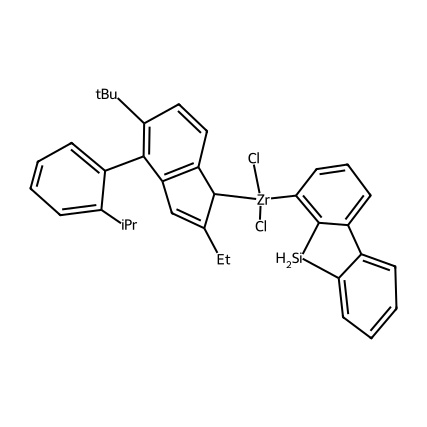 CCC1=Cc2c(ccc(C(C)(C)C)c2-c2ccccc2C(C)C)[CH]1[Zr]([Cl])([Cl])[c]1cccc2c1[SiH2]c1ccccc1-2